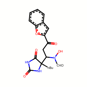 CCCCC1(C(CC(=O)c2cc3ccccc3o2)N(O)C=O)NC(=O)NC1=O